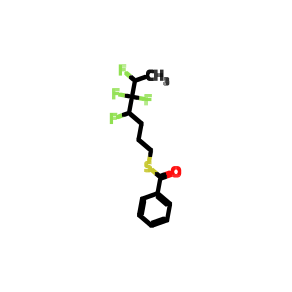 CC(F)C(F)(F)C(F)CCCSC(=O)c1ccccc1